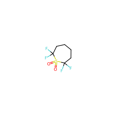 O=S1(=O)C(F)(F)CCCCC1(F)F